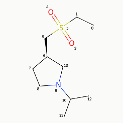 CCS(=O)(=O)C[C@@H]1CCN(C(C)C)C1